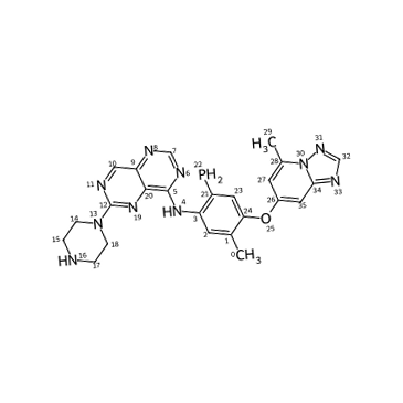 Cc1cc(Nc2ncnc3cnc(N4CCNCC4)nc23)c(P)cc1Oc1cc(C)n2ncnc2c1